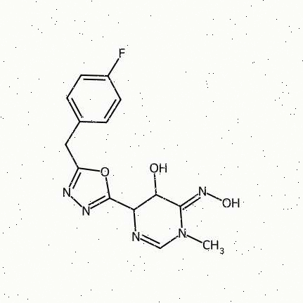 CN1C=NC(c2nnc(Cc3ccc(F)cc3)o2)C(O)/C1=N/O